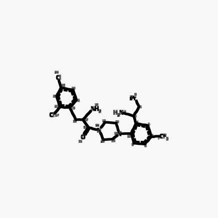 CC(C)CC(N)c1cc(C(F)(F)F)ccc1N1CCN(C(=O)C(N)Cc2ccc(Cl)cc2Cl)CC1